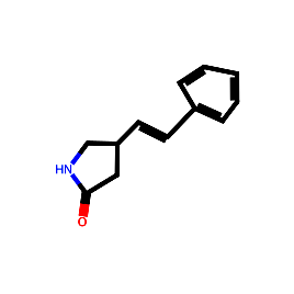 O=C1CC(C=Cc2ccccc2)CN1